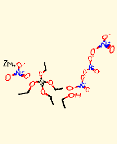 CCO.CCO[Si](OCC)(OCC)OCC.O=[N+]([O-])[O-].O=[N+]([O-])[O-].O=[N+]([O-])[O-].O=[N+]([O-])[O-].[Zr+4]